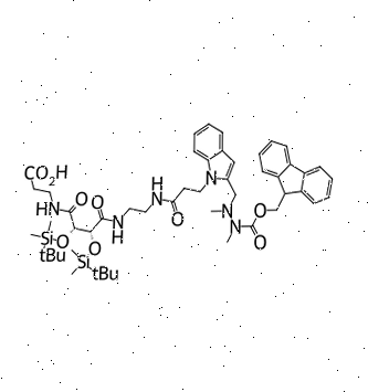 CN(Cc1cc2ccccc2n1CCC(=O)NCCNC(=O)[C@H](O[Si](C)(C)C(C)(C)C)[C@H](O[Si](C)(C)C(C)(C)C)C(=O)NCCC(=O)O)N(C)C(=O)OCC1c2ccccc2-c2ccccc21